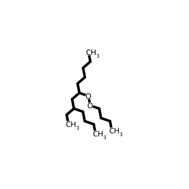 CCCCCC(CC(CC)CCCC)OOCCCC